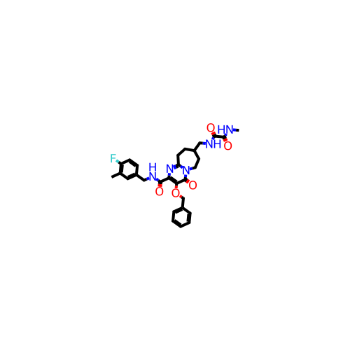 CNC(=O)C(=O)NCC1CCc2nc(C(=O)NCc3ccc(F)c(C)c3)c(OCc3ccccc3)c(=O)n2CC1